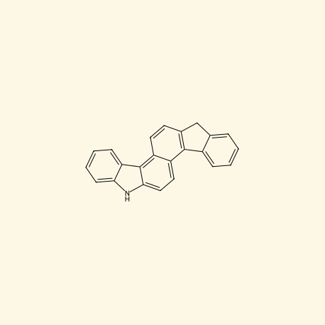 c1ccc2c(c1)Cc1ccc3c(ccc4[nH]c5ccccc5c43)c1-2